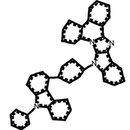 c1ccc(-n2c3ccccc3c3c(-c4ccc(-n5c6ccccc6c6nc7c8ccccc8c8ccccc8n7c65)cc4)cccc32)cc1